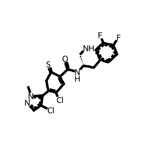 Cn1ncc(Cl)c1C1=C(Cl)C=C(C(=O)N[C@H](CN)Cc2ccc(F)c(F)c2)C(=S)C1